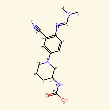 CN(C)C=Nc1ccc(N2CCCC(NC(=O)O)C2)cc1C#N